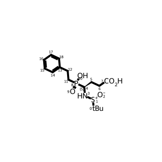 CC(C)(C)[S+]([O-])N[C@H](CCC(=O)O)P(=O)(O)CCc1ccccc1